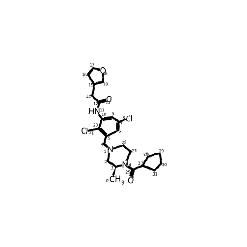 C[C@H]1CN(Cc2cc(Cl)cc(NC(=O)CC3CCOC3)c2Cl)CCN1C(=O)C1CCCC1